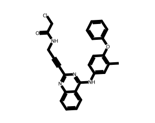 Cc1cc(Nc2nc(C#CCNC(=O)CCl)nc3ccccc23)ccc1Oc1ccccc1